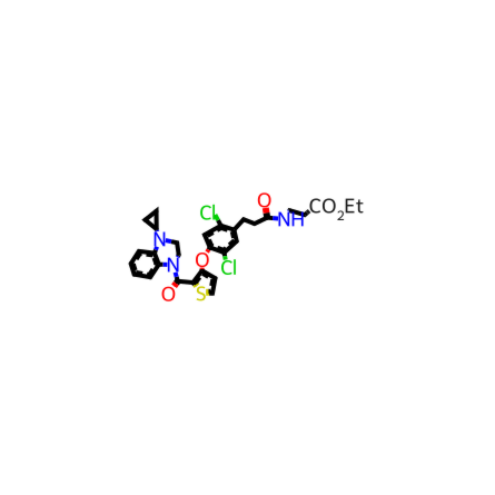 CCOC(=O)CCNC(=O)CCc1cc(Cl)c(Oc2ccsc2C(=O)N2CCN(C3CC3)c3ccccc32)cc1Cl